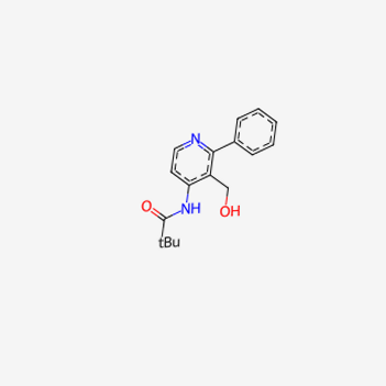 CC(C)(C)C(=O)Nc1ccnc(-c2ccccc2)c1CO